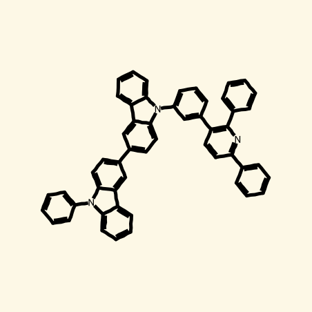 c1ccc(-c2ccc(-c3cccc(-n4c5ccccc5c5cc(-c6ccc7c(c6)c6ccccc6n7-c6ccccc6)ccc54)c3)c(-c3ccccc3)n2)cc1